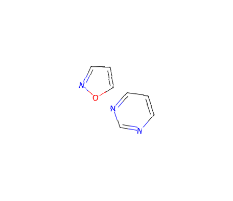 c1cncnc1.c1cnoc1